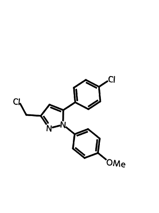 COc1ccc(-n2nc(CCl)cc2-c2ccc(Cl)cc2)cc1